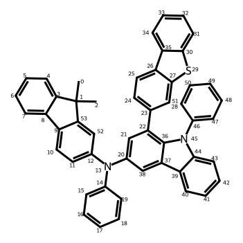 CC1(C)c2ccccc2-c2ccc(N(c3ccccc3)c3cc(-c4ccc5c(c4)sc4ccccc45)c4c(c3)c3ccccc3n4-c3ccccc3)cc21